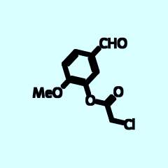 COc1ccc(C=O)cc1OC(=O)CCl